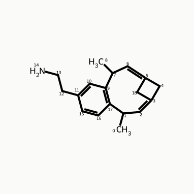 CC1C=C2CC(=CC(C)c3cc(CCN)ccc31)C2